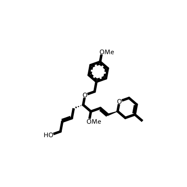 COc1ccc(CO[C@@H](C/C=C/CO)C(/C=C/[C@@H]2CC(C)=CCO2)OC)cc1